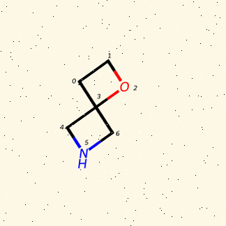 [CH]1COC12CNC2